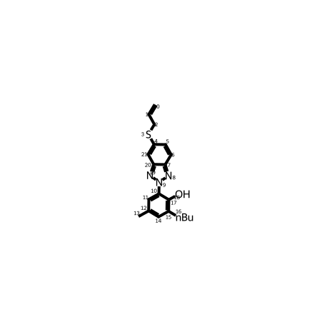 C=CCSc1ccc2nn(-c3cc(C)cc(CCCC)c3O)nc2c1